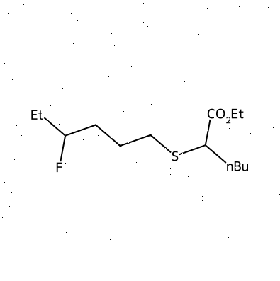 CCCCC(SCCCC(F)CC)C(=O)OCC